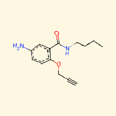 C#CCOc1ccc(N)cc1C(=O)NCCCC